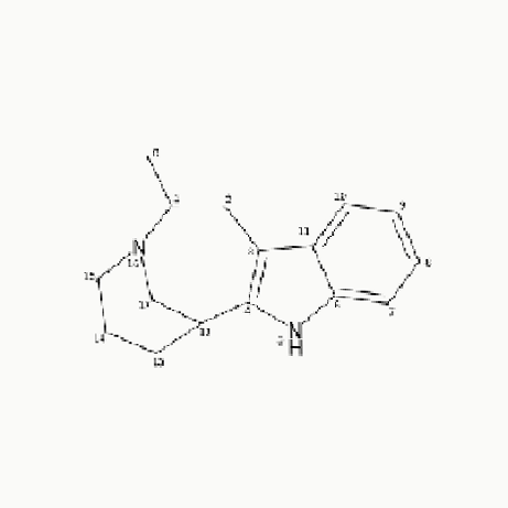 CC1Cc2c([nH]c3ccccc23)C2CCCN1C2